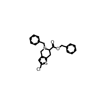 O=C(OCc1ccccc1)C1Cc2sc(Cl)cc2CN1Cc1ccccc1